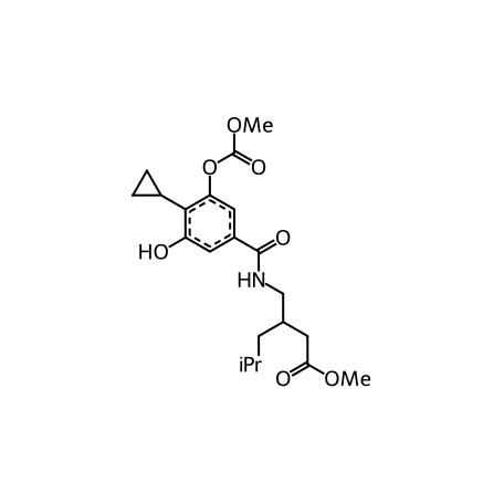 COC(=O)CC(CNC(=O)c1cc(O)c(C2CC2)c(OC(=O)OC)c1)CC(C)C